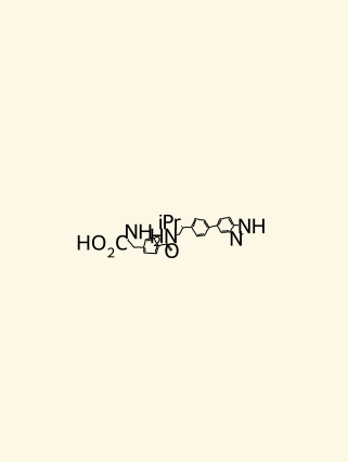 CC(C)[C@@H](CNC(=O)c1ccc(CC(N)C(=O)O)cc1)c1ccc(-c2ccc3[nH]cnc3c2)cc1